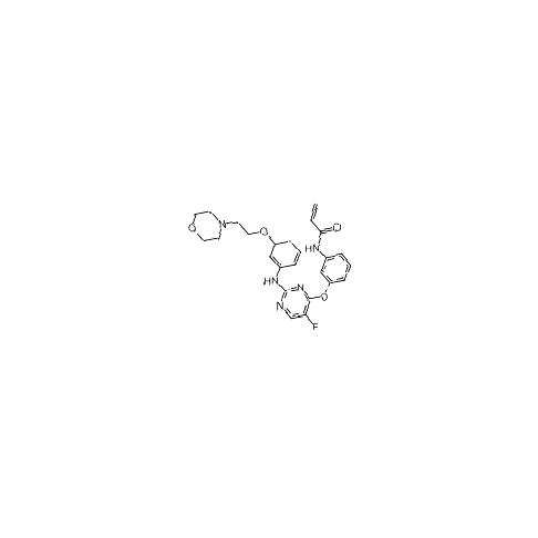 C=CC(=O)Nc1cccc(Oc2nc(NC3=CC(OCCN4CCOCC4)CC=C3)ncc2F)c1